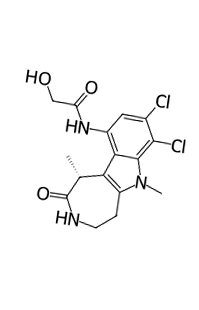 C[C@H]1C(=O)NCCc2c1c1c(NC(=O)CO)cc(Cl)c(Cl)c1n2C